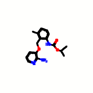 Cc1cccc(NC(=O)OC(C)C)c1COc1cccnc1N